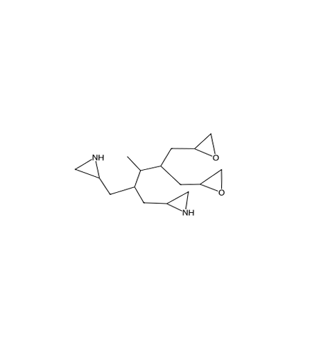 CC(C(CC1CN1)CC1CN1)C(CC1CO1)CC1CO1